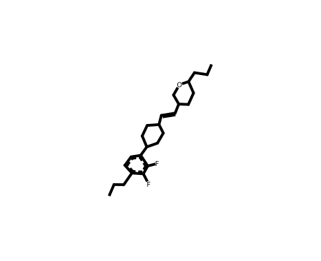 CCCc1ccc(C2CCC(C=CC3CCC(CCC)OC3)CC2)c(F)c1F